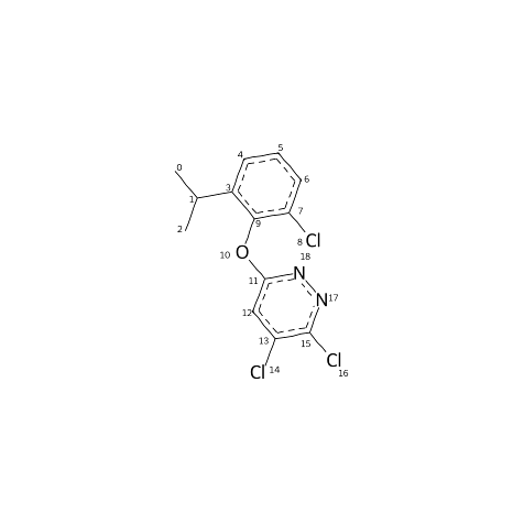 CC(C)c1cccc(Cl)c1Oc1cc(Cl)c(Cl)nn1